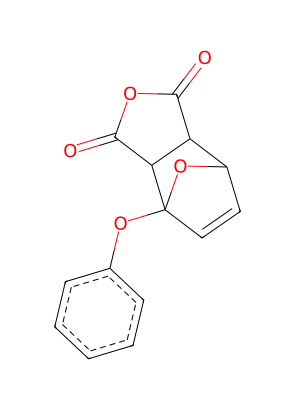 O=C1OC(=O)C2C1C1C=CC2(Oc2ccccc2)O1